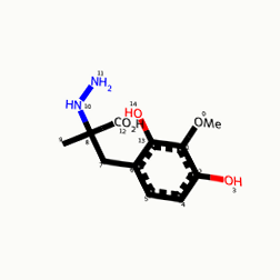 COc1c(O)ccc(CC(C)(NN)C(=O)O)c1O